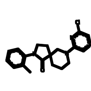 Cc1ccccc1N1CCC2(CCCN(c3cncc(Cl)n3)C2)C1=O